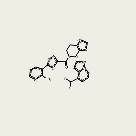 Cc1ncccc1-c1nnc(C(=O)N2CCc3[nH]cnc3[C@@H]2c2cc3c(C(F)F)cccn3n2)o1